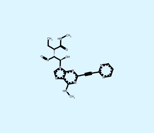 CCC(C(=O)NC)[C@@H](N=O)[C@@H](O)n1cnc2c(NC)nc(C#Cc3ncccn3)nc21